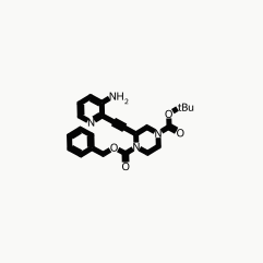 CC(C)(C)OC(=O)N1CCN(C(=O)OCc2ccccc2)C(C#Cc2ncccc2N)C1